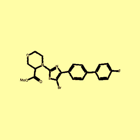 COC(=O)C1COCCN1c1nc(-c2ccc(-c3ccc(F)cc3)cc2)c(Br)s1